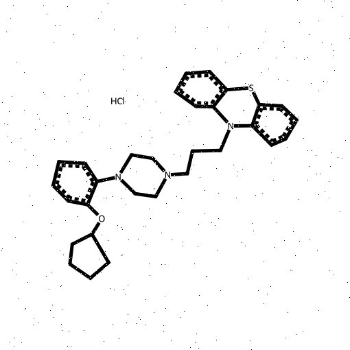 Cl.c1ccc(N2CCN(CCCN3c4ccccc4Sc4ccccc43)CC2)c(OC2CCCC2)c1